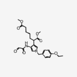 CCOc1ccc(Cn2cc(NC(=O)C=O)c(C(CCCCC(=O)OC)C(=O)OC)c2)cc1